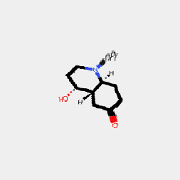 CCCN1CC[C@@H](O)[C@H]2CC(=O)CC[C@@H]21